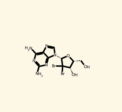 Nc1nc(N)c2ncn([C@@H]3O[C@H](CO)[C@H](O)C3(Br)Br)c2n1